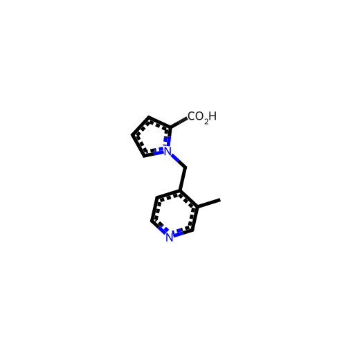 Cc1cnccc1Cn1cccc1C(=O)O